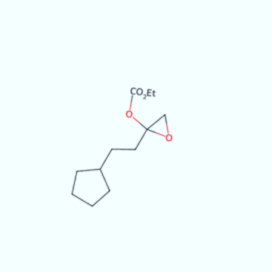 CCOC(=O)OC1(CCC2CCCC2)CO1